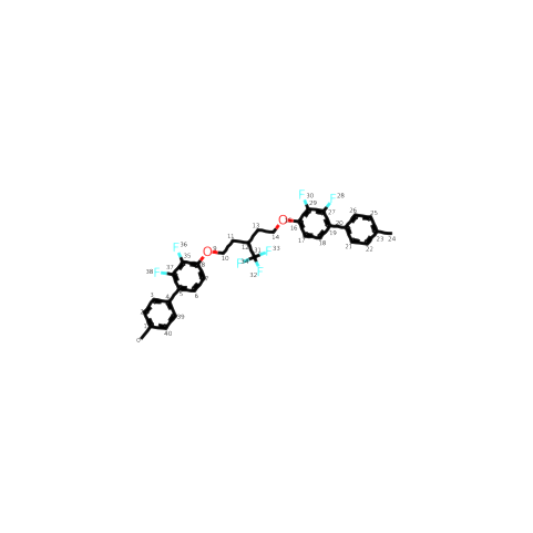 Cc1ccc(-c2ccc(OCCC(CCOc3ccc(-c4ccc(C)cc4)c(F)c3F)C(F)(F)F)c(F)c2F)cc1